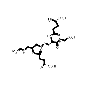 N[C@H](CCC(=O)NC(CNCC(=O)O)CSSC[C@H](NC(=O)CC[C@H](N)C(=O)O)C(=O)NCC(=O)O)C(=O)O